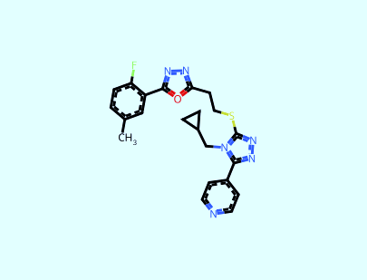 Cc1ccc(F)c(-c2nnc(CCSc3nnc(-c4ccncc4)n3CC3CC3)o2)c1